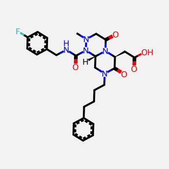 CN1CC(=O)N2[C@@H](CC(=O)O)C(=O)N(CCCCc3ccccc3)C[C@@H]2N1C(=O)NCc1ccc(F)cc1